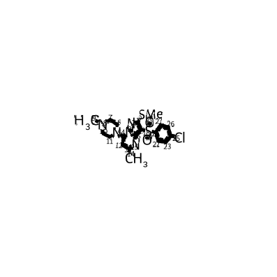 CSc1nn2c(N3CCN(C)CC3)cc(C)nc2c1S(=O)(=O)c1ccc(Cl)cc1